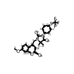 COc1ccc2c(CN3C(=O)N(c4ccc(SC(F)(F)F)cc4)C(=O)C3(C)C)cc(=O)oc2c1